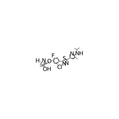 Cc1cc(-c2nnc(-c3cc(F)c(OC[C@H](N)[C@H](C)O)cc3Cl)s2)cnc1NC(C)C